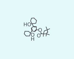 CC(C)(C)CC(C)(C(=O)Oc1cc(C2(O)CCCCC2)cc(C2(O)CCCCC2)c1)C(C)(C)C